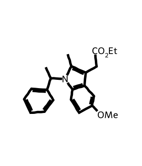 CCOC(=O)Cc1c(C)n(C(C)c2ccccc2)c2ccc(OC)cc12